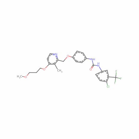 COCCCOc1ccnc(COc2ccc(NC(=O)Nc3ccc(Cl)c(C(F)(F)F)c3)cc2)c1C